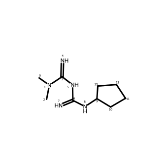 CN(C)C(=N)NC(=N)NC1CCCC1